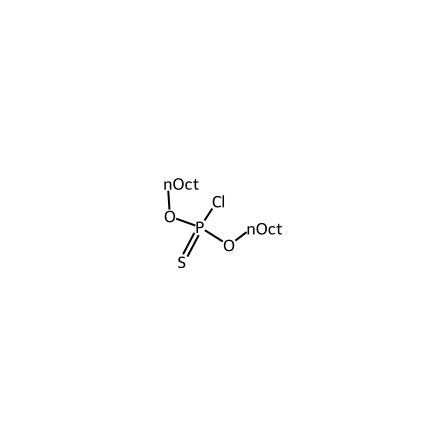 CCCCCCCCOP(=S)(Cl)OCCCCCCCC